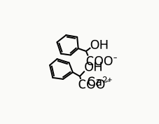 O=C([O-])C(O)c1ccccc1.O=C([O-])C(O)c1ccccc1.[Ca+2]